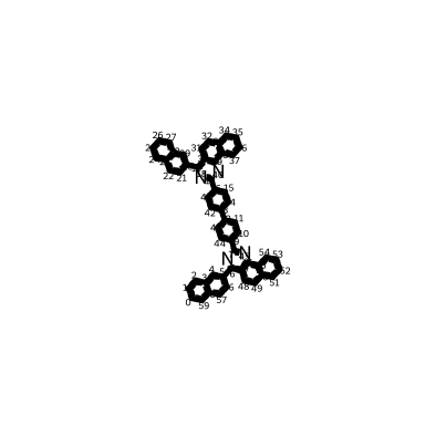 c1ccc2cc(-c3nc(-c4ccc(-c5ccc(-c6nc(-c7ccc8ccccc8c7)c7ccc8ccccc8c7n6)cc5)cc4)nc4c3ccc3ccccc34)ccc2c1